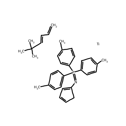 C=CC=CC(C)(C)C.Cc1ccc(P(=NC2=CC=CC2)(c2ccc(C)cc2)c2ccc(C)cc2)cc1.[Ti]